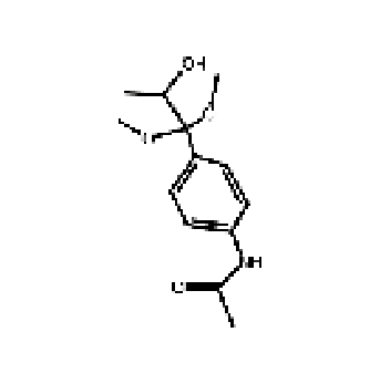 COC(OC)(c1ccc(NC(C)=O)cc1)C(C)O